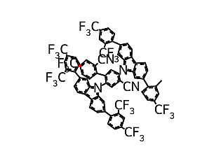 Cc1cc(C(F)(F)F)ccc1-c1ccc2c3ccc(-c4ccc(C(F)(F)F)cc4C(F)(F)F)cc3n(-c3cc(-c4ccc(C(F)(F)F)cc4C#N)c(-n4c5cc(-c6ccc(C(F)(F)F)cc6C(F)(F)F)ccc5c5ccc(-c6ccc(C(F)(F)F)cc6C(F)(F)F)cc54)cc3C#N)c2c1